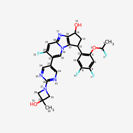 CC(F)Oc1cc(F)c(F)cc1C1CC(O)c2nc3cc(F)c(-c4cnc(N5CC(C)(O)C5)nc4)cn3c21